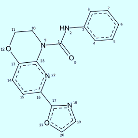 O=C(Nc1ccccc1)N1CCOc2ccc(-c3ncco3)nc21